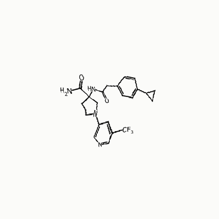 NC(=O)C1(NC(=O)Cc2ccc(C3CC3)cc2)CCN(c2cncc(C(F)(F)F)c2)C1